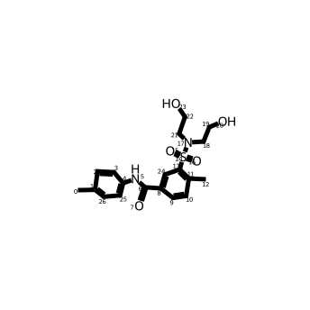 Cc1ccc(NC(=O)c2ccc(C)c(S(=O)(=O)N(CCO)CCO)c2)cc1